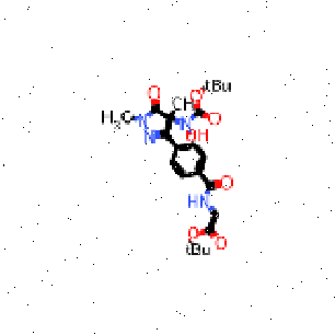 CN1N=C(c2ccc(C(=O)NCC(=O)OC(C)(C)C)cc2)C(C)(N(O)C(=O)OC(C)(C)C)C1=O